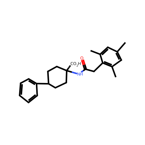 Cc1cc(C)c(CC(=O)NC2(C(=O)O)CCC(c3ccccc3)CC2)c(C)c1